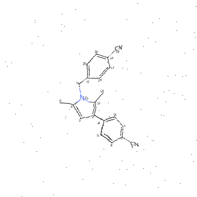 Cc1cc(-c2ccc(C#N)cc2)c(C)n1Cc1ccc(C#N)cc1